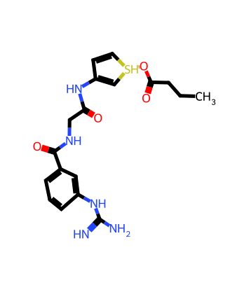 CCCC(=O)O[SH]1C=CC(NC(=O)CNC(=O)c2cccc(NC(=N)N)c2)=C1